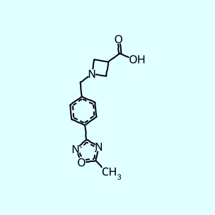 Cc1nc(-c2ccc(CN3CC(C(=O)O)C3)cc2)no1